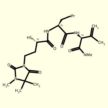 C=C(C)[C@H](NC(=O)[C@H](CC(C)C)NC(=O)[C@@H](S)CCN1C(=O)N(C)C(C)(C)C1=O)C(=O)NC